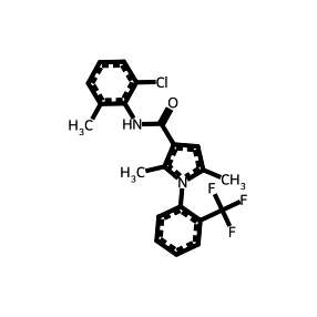 Cc1cccc(Cl)c1NC(=O)c1cc(C)n(-c2ccccc2C(F)(F)F)c1C